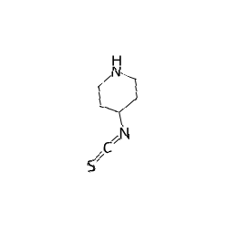 S=C=NC1CCNCC1